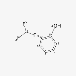 FC(F)F.Oc1ccccc1